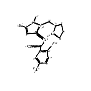 Cn1c(C(C)(C)C)cc(=NC(=O)c2cc(C(F)(F)F)ccc2F)n1C[C@H]1CCCO1